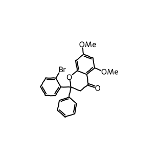 COc1cc(OC)c2c(c1)OC(c1ccccc1)(c1ccccc1Br)CC2=O